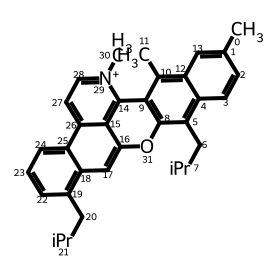 Cc1ccc2c(CC(C)C)c3c(c(C)c2c1)-c1c2c(cc4c(CC(C)C)cccc4c2cc[n+]1C)O3